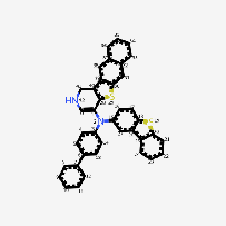 C1=C(N(c2ccc(-c3ccccc3)cc2)c2ccc3sc4ccccc4c3c2)c2sc3cc4ccccc4cc3c2CN1